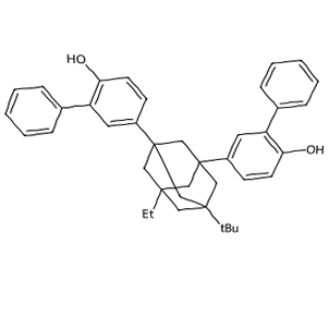 CCC12CC3(c4ccc(O)c(-c5ccccc5)c4)CC(c4ccc(O)c(-c5ccccc5)c4)(C1)CC(C(C)(C)C)(C2)C3